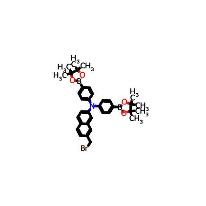 CC1(C)OB(c2ccc(N(c3ccc(B4OC(C)(C)C(C)(C)O4)cc3)c3ccc4ccc(CBr)cc4c3)cc2)OC1(C)C